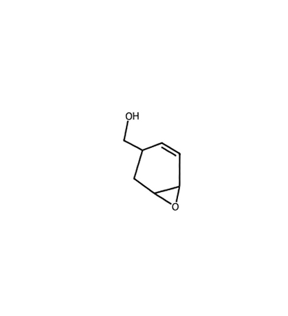 OCC1C=CC2OC2C1